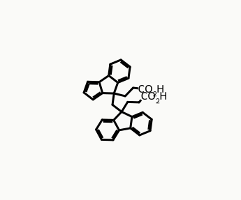 O=C(O)CCC1(CC2(CCC(=O)O)c3ccccc3-c3ccccc32)C2=CC=C=C2c2ccccc21